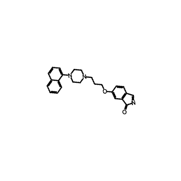 O=C1N=Cc2ccc(OCCCN3CCN(c4cccc5ccccc45)CC3)cc21